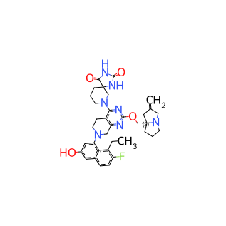 C=C1CN2CCC[C@@]2(COc2nc3c(c(N4CCCC5(C4)NC(=O)NC5=O)n2)CCN(c2cc(O)cc4ccc(F)c(CC)c24)C3)C1